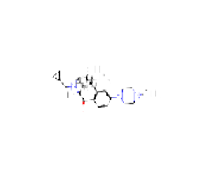 CC1CN(CC2CC2)[C@@H]2C(=O)c3ccc(N4CCN(C)CC4)cc3[C@]1(C)[C@H]2C